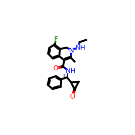 CCNN1Cc2c(F)cccc2C(C(=O)N[C@H](c2ccccc2)C2CC2=O)=C1C